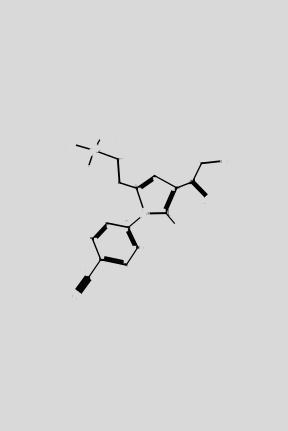 Cc1c(C(=O)CBr)cc(CCS(C)(C)C)n1-c1ccc(C#N)cc1